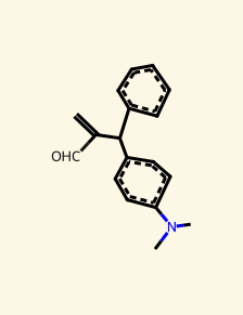 C=C(C=O)C(c1ccccc1)c1ccc(N(C)C)cc1